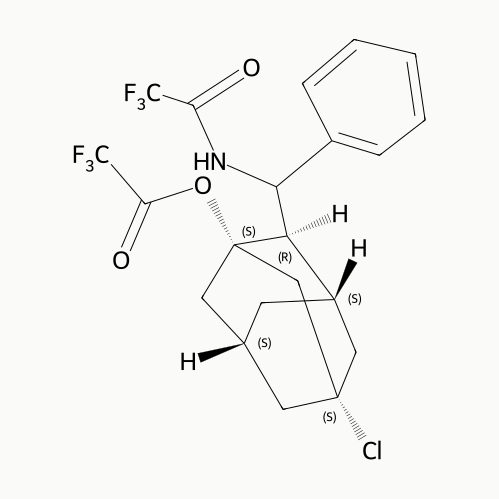 O=C(NC(c1ccccc1)[C@H]1[C@H]2C[C@@H]3C[C@](Cl)(C2)C[C@@]1(OC(=O)C(F)(F)F)C3)C(F)(F)F